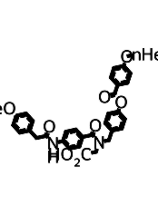 CCCCCCCOc1ccc(C(=O)Oc2ccc(CN(CC(=O)O)C(=O)c3ccc(NC(=O)Cc4ccc(OC)cc4)cc3)cc2)cc1